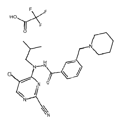 CC(C)CN(NC(=O)c1cccc(CN2CCCCC2)c1)c1nc(C#N)ncc1Cl.O=C(O)C(F)(F)F